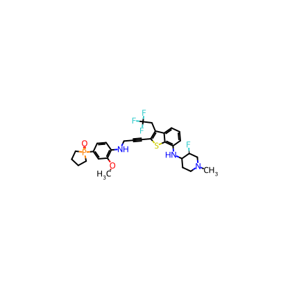 COc1cc(P2(=O)CCCC2)ccc1NCC#Cc1sc2c(NC3CCN(C)C[C@@H]3F)cccc2c1CC(F)(F)F